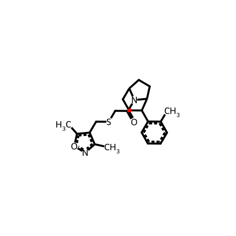 Cc1ccccc1C1CCC2CCC1N2C(=O)CSCc1c(C)noc1C